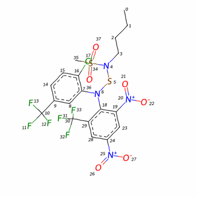 CCCCN(SN(c1cc(C(F)(F)F)ccc1Cl)c1c([N+](=O)[O-])cc([N+](=O)[O-])cc1C(F)(F)F)S(C)(=O)=O